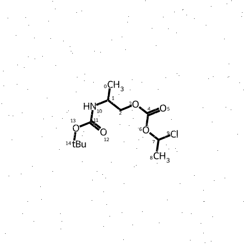 CC(COC(=O)OC(C)Cl)NC(=O)OC(C)(C)C